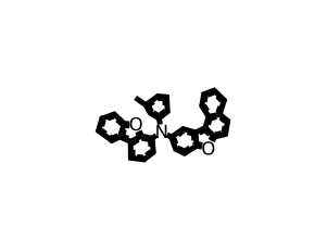 Cc1cccc(N(c2ccc3oc4ccc5ccccc5c4c3c2)c2cccc3c2oc2ccccc23)c1